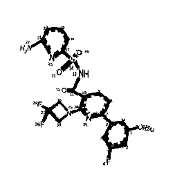 CC(C)COc1cc(F)cc(-c2ccc(C(=O)NS(=O)(=O)c3cccc(N)n3)c(N3CC(F)(F)C3)n2)c1